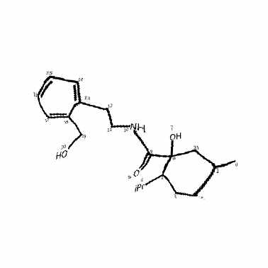 CC1CCC(C(C)C)C(O)(C(=O)NCCc2ccccc2CO)C1